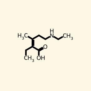 CCNCCC(C)=C(CC)C(=O)O